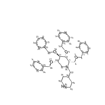 c1ccc(COC[C@H]2[C@@H](OCc3ccccc3)[C@H](OCc3ccccc3)[C@@H](OCc3ccccc3)CN2CC2CCNCC2)cc1